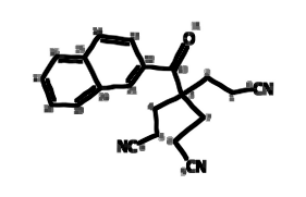 N#CCCC(CCC#N)(CCC#N)C(=O)c1ccc2ccccc2c1